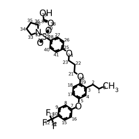 CCCc1cc(Oc2ccc(C(F)(F)F)cc2)ccc1OCCCOc1ccc(S(=O)(=O)N2CCC[C@@H]2C(=O)O)cc1